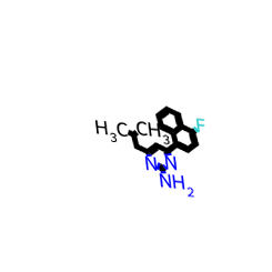 CC(C)Cc1cc(-c2ccc(F)c3ccccc23)nc(N)n1